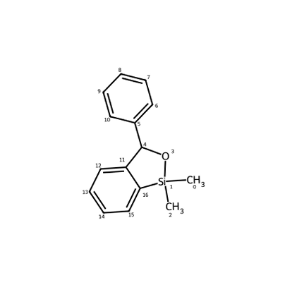 C[Si]1(C)OC(c2ccccc2)c2ccccc21